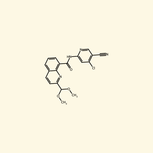 COC(OC)c1ccc2cccc(C(=O)Nc3cc(Cl)c(C#N)cn3)c2n1